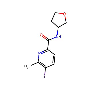 Cc1nc(C(=O)N[C@H]2CCOC2)ccc1I